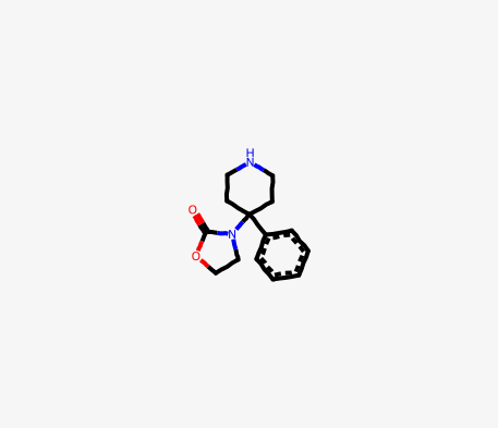 O=C1OCCN1C1(c2ccccc2)CCNCC1